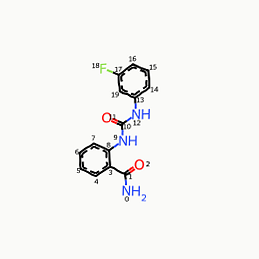 NC(=O)c1ccccc1NC(=O)Nc1cccc(F)c1